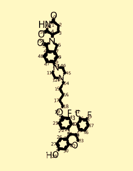 O=C1CCC(N2Cc3cc(N4CCN(CCCCCOc5ccc([C@H]6c7ccc(O)cc7OC[C@H]6c6ccc(F)c(C(F)(F)F)c6)cc5)CC4)ccc3C2=O)C(=O)N1